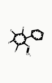 C=Nc1c(F)c(F)c(F)c(F)c1-c1cc[c]cc1